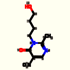 Cc1ncc([N+](=O)[O-])c(=O)n1CCCCO